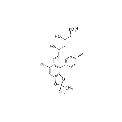 CC(C)c1cc2c(c(-c3ccc(F)cc3)c1/C=C/C(O)CC(O)CC(=O)O)OC(C)(C)O2